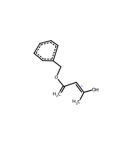 C=C(/C=C(\C)O)OCc1ccccc1